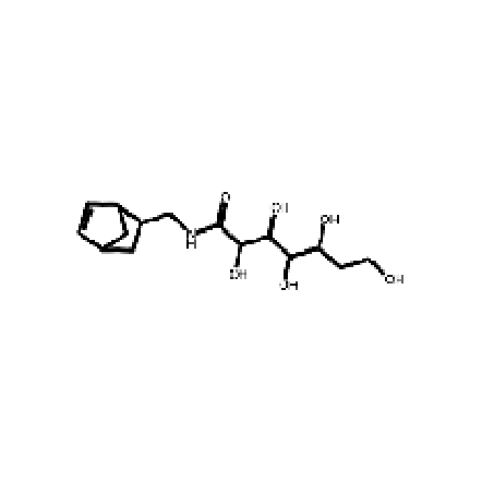 O=C(NCC1CC2C=CC1C2)C(O)C(O)C(O)C(O)CCO